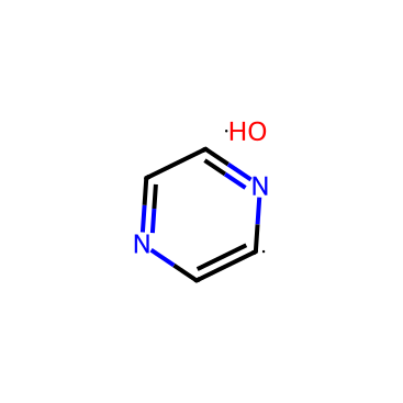 [OH].[c]1cnccn1